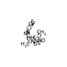 CCc1cc(C)ccc1N1C(=O)CS/C1=N\C(=O)NCC(C)c1ccc(-c2ncn(-c3ccc(OC(F)(F)F)cc3)n2)cc1